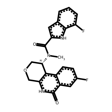 CN(C(=O)c1cc2cccc(F)c2[nH]1)[C@H]1COCc2[nH]c(=O)c3cc(F)ccc3c21